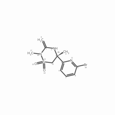 C=C1N[C@](C)(c2cccc(Br)n2)CS(=O)(=O)N1C